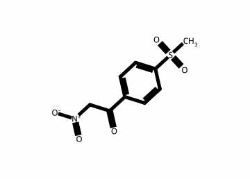 CS(=O)(=O)c1ccc(C(=O)C[N+](=O)[O-])cc1